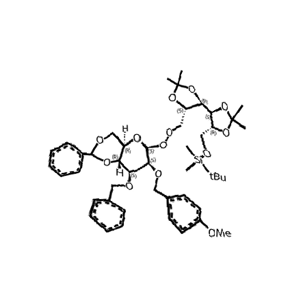 COc1ccc(CO[C@@H]2[C@H](OOC[C@@H]3OC(C)(C)O[C@H]3[C@H]3OC(C)(C)O[C@@H]3CO[Si](C)(C)C(C)(C)C)O[C@@H]3COC(c4ccccc4)O[C@H]3[C@@H]2OCc2ccccc2)cc1